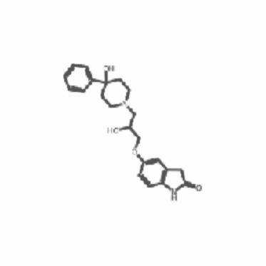 O=C1Cc2cc(OCC(O)CN3CCC(O)(c4ccccc4)CC3)ccc2N1